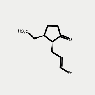 CCC=CC[C@@H]1C(=O)CC[C@@H]1CC(=O)O